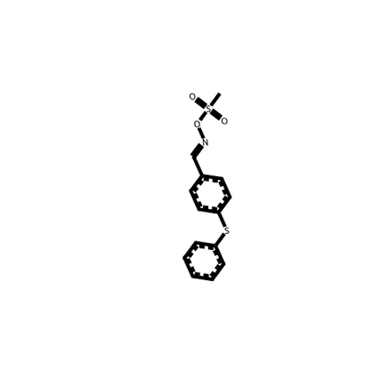 CS(=O)(=O)ON=Cc1ccc(Sc2ccccc2)cc1